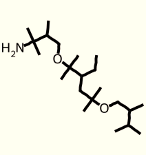 CCC(CC(C)(C)OCC(C)C(C)C)C(C)(C)OCC(C)C(C)(C)N